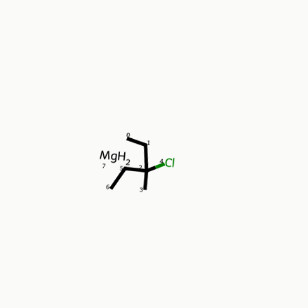 CCC(C)(Cl)CC.[MgH2]